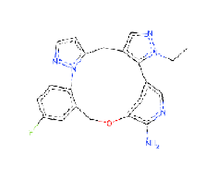 CCn1ncc2c1-c1cnc(N)c(c1)OCc1cc(F)ccc1-n1nccc1C2